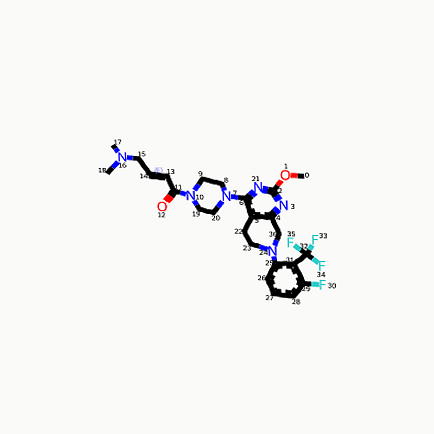 COc1nc2c(c(N3CCN(C(=O)/C=C/CN(C)C)CC3)n1)CCN(c1cccc(F)c1C(F)(F)F)C2